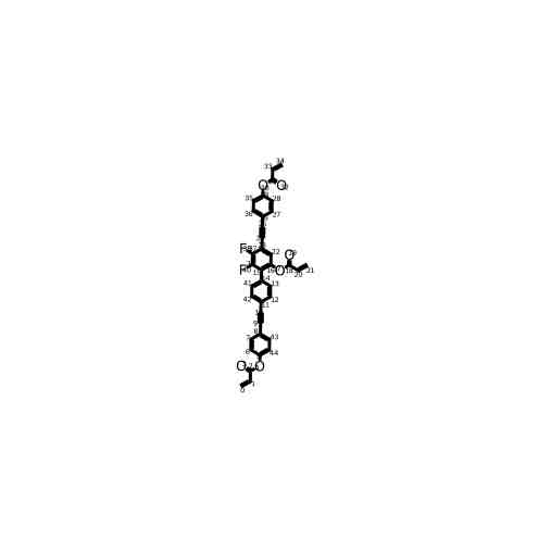 C=CC(=O)Oc1ccc(C#Cc2ccc(-c3c(OC(=O)C=C)cc(C#Cc4ccc(OC(=O)C=C)cc4)c(F)c3F)cc2)cc1